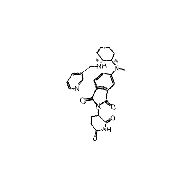 CN(c1ccc2c(c1)C(=O)N(C1CCC(=O)NC1=O)C2=O)[C@@H]1CCCC[C@H]1NCc1cccnc1